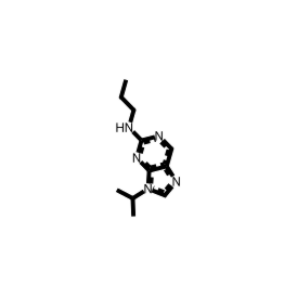 CCCNc1ncc2ncn(C(C)C)c2n1